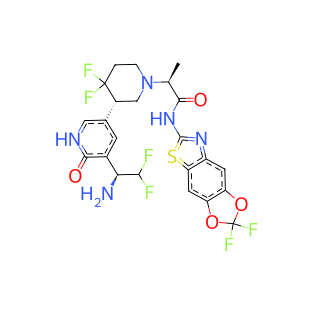 C[C@@H](C(=O)Nc1nc2cc3c(cc2s1)OC(F)(F)O3)N1CCC(F)(F)[C@@H](c2c[nH]c(=O)c([C@H](N)C(F)F)c2)C1